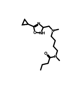 CCCC(=O)N(C)CCCCN(C)CC1N=C(C2CC2)ON1